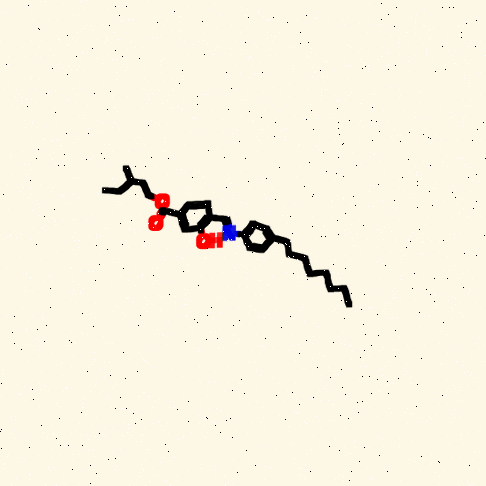 CCCCCCCCc1ccc(N=Cc2ccc(C(=O)OCCC(C)CC)cc2O)cc1